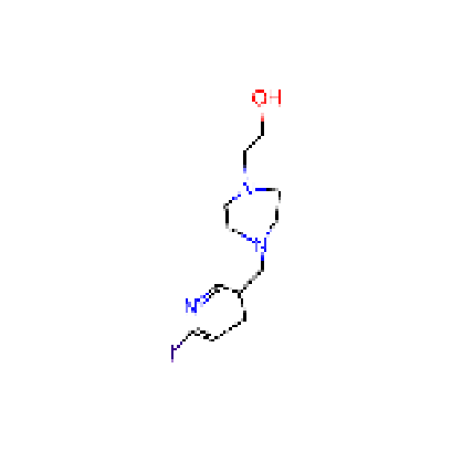 OCCN1CCN(CC2C=NC(I)=CC2)CC1